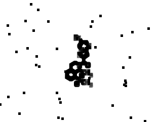 CC1c2c(cccc2S(C)(=O)=O)CCN1C(=O)c1cc2ncc(Br)cn2n1